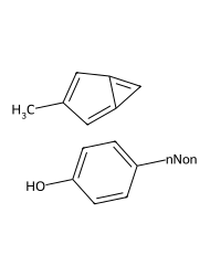 CCCCCCCCCc1ccc(O)cc1.Cc1cc2cc-2c1